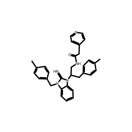 Cc1ccc(CC(CNC(=O)Cc2ccncc2)n2c(=N)n(Cc3ccc(C)cc3)c3ccccc32)cc1